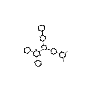 Cc1cc(C)nc(-c2ccc(-c3cc(-c4ccc(-c5ccccc5)cc4)cc(-c4nc(-c5ccccc5)cc(-c5ccccc5)n4)c3)cc2)n1